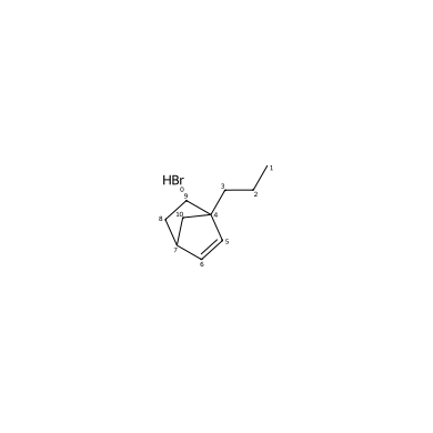 Br.CCCC12C=CC(CC1)C2